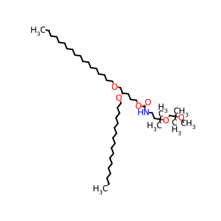 CCCCCCCCCCCCCCCCCCOCC(CCCOC(=O)NCCC(C)(C)OCC(C)(C)OC)OCCCCCCCCCCCCCCCCCC